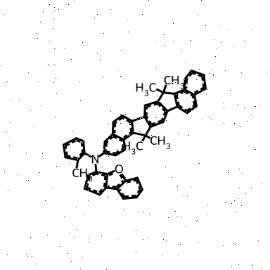 Cc1ccccc1N(c1ccc2c3c(ccc2c1)-c1cc2c(cc1C3(C)C)-c1ccc3ccccc3c1C2(C)C)c1cccc2c1oc1ccccc12